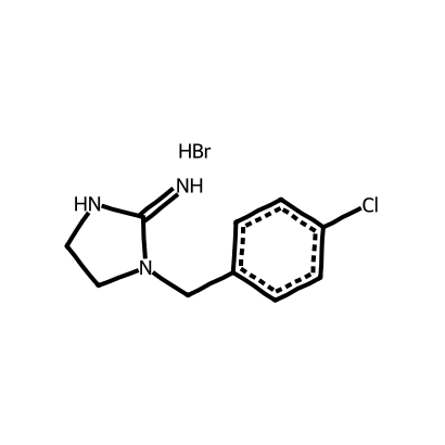 Br.N=C1NCCN1Cc1ccc(Cl)cc1